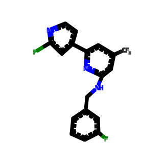 Fc1cccc(CNc2cc(C(F)(F)F)cc(-c3ccnc(F)c3)n2)c1